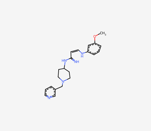 COc1cccc(N/C=C\C(=N)NC2CCN(Cc3cccnc3)CC2)c1